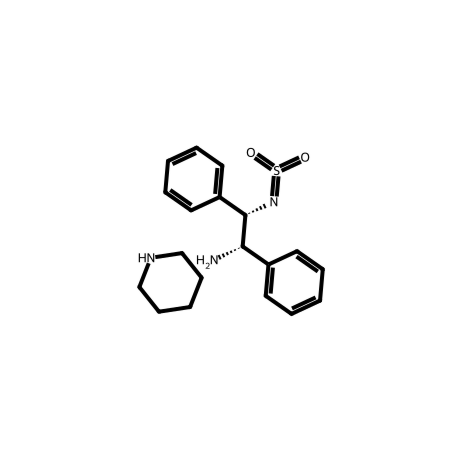 C1CCNCC1.N[C@@H](c1ccccc1)[C@@H](N=S(=O)=O)c1ccccc1